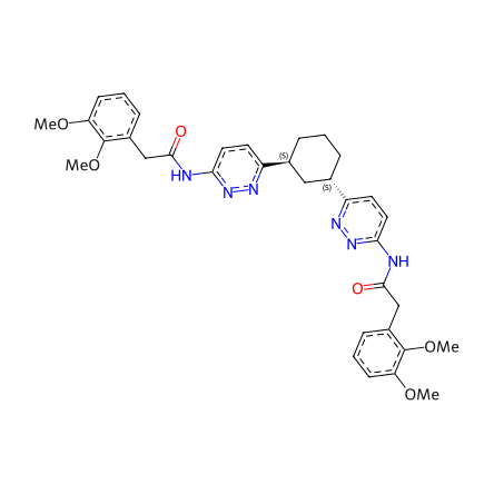 COc1cccc(CC(=O)Nc2ccc([C@H]3CCC[C@H](c4ccc(NC(=O)Cc5cccc(OC)c5OC)nn4)C3)nn2)c1OC